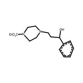 CCOC(=O)N1CCN(CCC(O)c2ccccc2)CC1